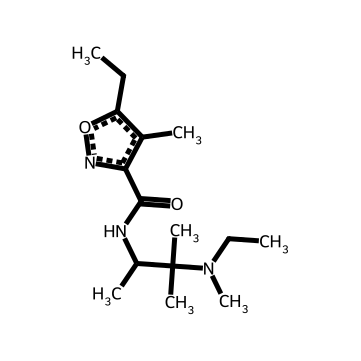 CCc1onc(C(=O)NC(C)C(C)(C)N(C)CC)c1C